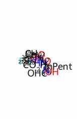 CCCCCC(CN(O)C=O)C(=O)NCNC(=O)c1ccc(-c2c(C)cc(F)c(C(=O)O)c2F)o1